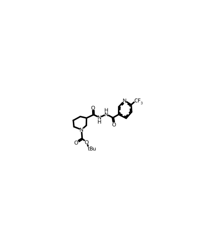 CC(C)(C)OC(=O)N1CCCC(C(=O)NNC(=O)c2ccc(C(F)(F)F)nc2)C1